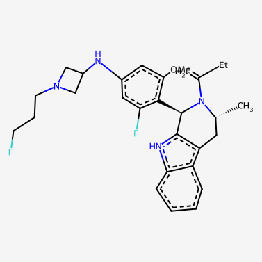 C=C(CC)N1[C@H](c2c(F)cc(NC3CN(CCCF)C3)cc2OC)c2[nH]c3ccccc3c2C[C@H]1C